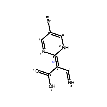 N=C/C(C(=O)O)=C1/N=CC(Br)=CN1